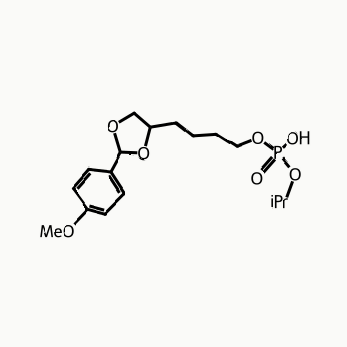 COc1ccc(C2OCC(CCCCOP(=O)(O)OC(C)C)O2)cc1